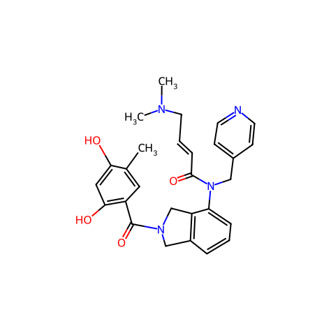 Cc1cc(C(=O)N2Cc3cccc(N(Cc4ccncc4)C(=O)/C=C/CN(C)C)c3C2)c(O)cc1O